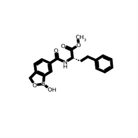 COC(=O)[C@H](CCc1ccccc1)NC(=O)c1ccc2c(c1)B(O)OC2